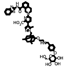 Cc1c(-c2ccc(N3CCc4cccc(C(=O)Nc5nc6ccccc6s5)c4C3)nc2C(=O)O)cnn1CC12CC3(C)CC(C)(C1)CC(OCCNCc1ccc(O[C@H]4O[C@@H](CO)[C@H](O)[C@H](O)[C@@H]4O)cc1)(C3)C2